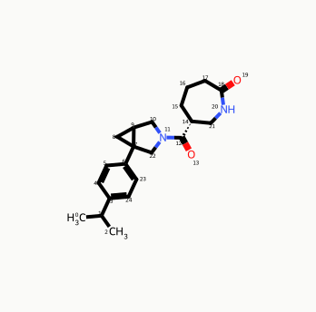 CC(C)c1ccc(C23CC2CN(C(=O)[C@@H]2CCCC(=O)NC2)C3)cc1